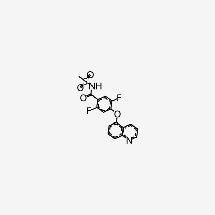 CS(=O)(=O)NC(=O)c1cc(F)c(Oc2cccc3ncccc23)cc1F